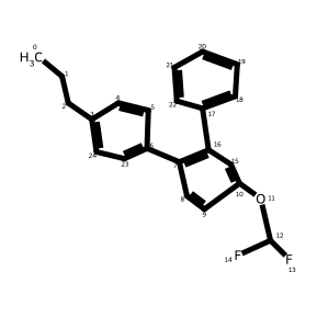 CCCc1ccc(-c2ccc(OC(F)F)cc2-c2ccccc2)cc1